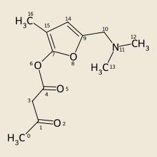 CC(=O)CC(=O)Oc1oc(CN(C)C)cc1C